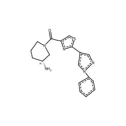 N[C@@H]1CCCN(C(=O)c2csc(-c3cnn(-c4ccccc4)c3)n2)C1